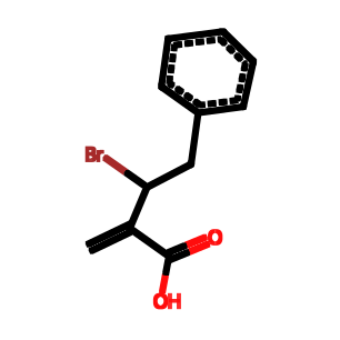 C=C(C(=O)O)C(Br)Cc1ccccc1